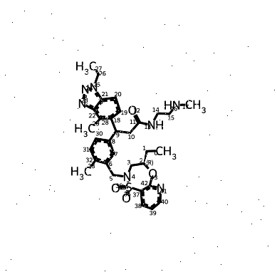 CC[C@@H]1CN(Cc2cc(C(CC(=O)NCCNC)c3ccc4c(nnn4CC)c3C)ccc2C)S(=O)(=O)c2cccnc2O1